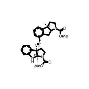 COC(=O)N1CC[C@@H]2c3cccc(/N=N/[C@]45CCN(C(=O)OC)[C@H]4Nc4ccccc45)c3CC21